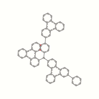 c1ccc(-c2ccc3c4ccc(N(c5ccc(-c6ccc7c8ccccc8c8ccccc8c7c6)cc5)c5cccc6c7ccccc7c7ccccc7c56)cc4c4ccccc4c3c2)cc1